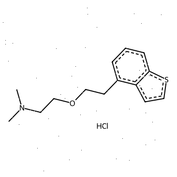 CN(C)CCOCCc1cccc2sccc12.Cl